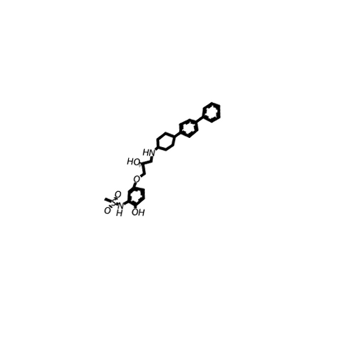 CS(=O)(=O)Nc1cc(OC[C@H](O)CNC2CCC(c3ccc(-c4ccccc4)cc3)CC2)ccc1O